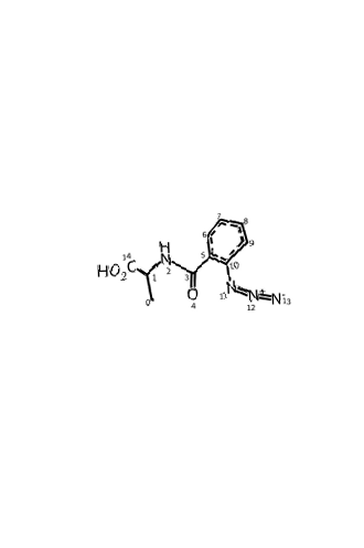 CC(NC(=O)c1ccccc1N=[N+]=[N-])C(=O)O